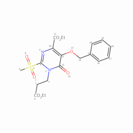 CCOC(=O)CCn1c(S(C)(=O)=O)nc(C(=O)OCC)c(OCc2ccccc2)c1=O